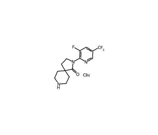 Cl.O=C1N(c2ncc(C(F)(F)F)cc2F)CCC12CCNCC2